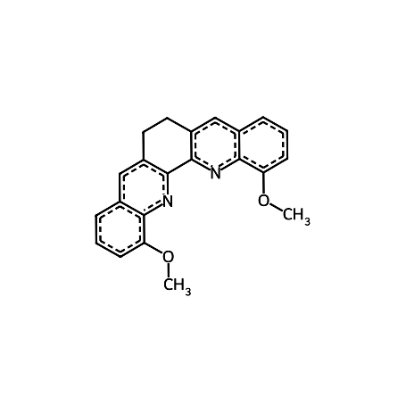 COc1cccc2cc3c(nc12)-c1nc2c(OC)cccc2cc1CC3